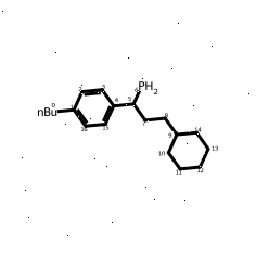 CCCCc1ccc(C(P)CC[C]2CCCCC2)cc1